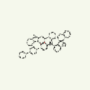 c1ccc(-c2ccc(-c3ccc(N(c4ccccc4-c4ccc5c(c4)sc4ccccc45)c4cccc5oc6c7ccccc7ccc6c45)cc3)cc2)cc1